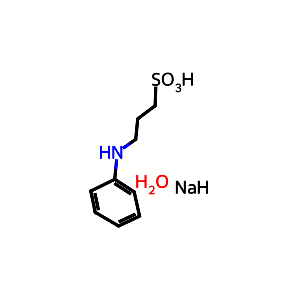 O.O=S(=O)(O)CCCNc1ccccc1.[NaH]